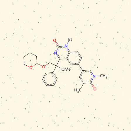 CCn1c(=O)nc(C(COC2CCCCO2)(OC)c2ccccc2)c2cc(-c3cc(C)c(=O)n(C)c3)ccc21